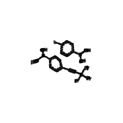 CC(C)[Si](C#Cc1ccc(B(O)O)cc1)(C(C)C)C(C)C.OB(O)c1ccc(I)cc1